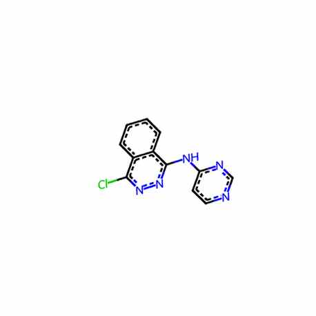 Clc1nnc(Nc2ccncn2)c2ccccc12